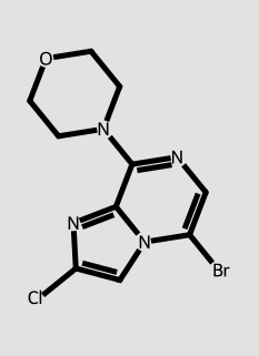 Clc1cn2c(Br)cnc(N3CCOCC3)c2n1